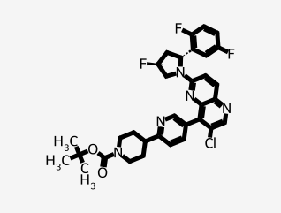 CC(C)(C)OC(=O)N1CCC(c2ccc(-c3c(Cl)cnc4ccc(N5C[C@@H](F)C[C@@H]5c5cc(F)ccc5F)nc34)cn2)CC1